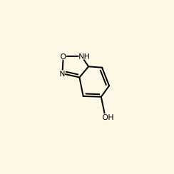 OC1=CC2=NONC2C=C1